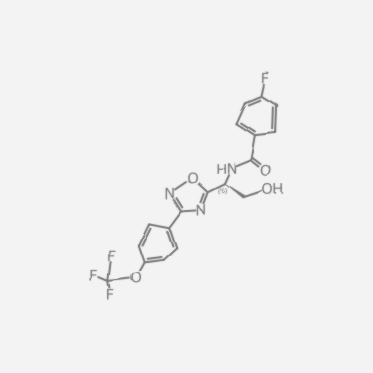 O=C(N[C@@H](CO)c1nc(-c2ccc(OC(F)(F)F)cc2)no1)c1ccc(F)cc1